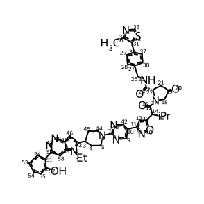 CCn1c(C2CCN(c3ncc(-c4cc(C(C(=O)N5CC(=O)C[C@H]5C(=O)NCc5ccc(-c6scnc6C)cc5)C(C)C)on4)cn3)CC2)cc2nnc(-c3ccccc3O)cc21